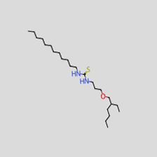 CCCCCCCCCCCCNC(=S)NCCCOCC(CC)CCCC